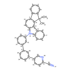 CC1(C)c2ccccc2-c2ccc3c(c21)c1ccccc1n3-c1cccc(-c2cccc(-c3ccc(C#N)nc3)c2)c1